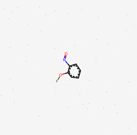 O=Nc1ccccc1OF